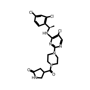 C[C@@H](Nc1nc(N2CCN(C(=O)C3CNC(=O)C3)CC2)ncc1Cl)c1ccc(Cl)cc1Cl